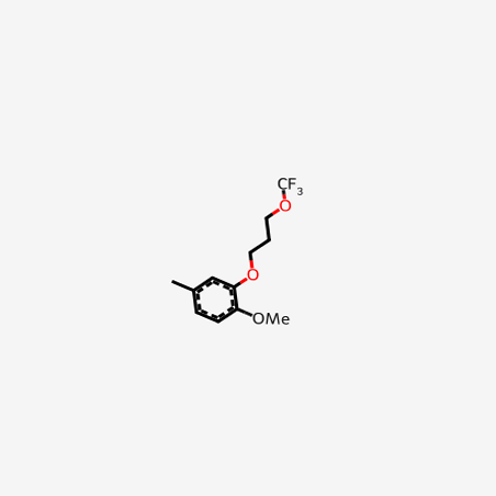 COc1ccc(C)cc1OCCCOC(F)(F)F